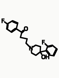 O=C(CCCN1CCC(O)(c2ccccc2F)CC1)c1ccc(F)cc1